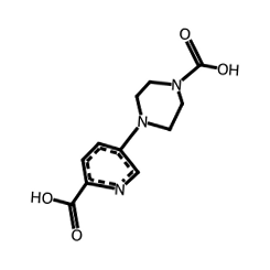 O=C(O)c1ccc(N2CCN(C(=O)O)CC2)cn1